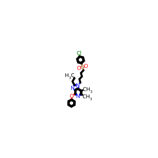 CCCc1nc2c(Oc3ccccc3)nc(C)c(C)c2n1CCCCCS(=O)(=O)c1ccc(Cl)cc1